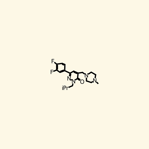 CC(C)Cn1nc(-c2ccc(F)c(F)c2)cc(CN2CCN(C)CC2)c1=O